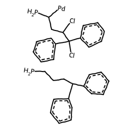 PCCCC(c1ccccc1)c1ccccc1.P[CH]([Pd])CC(Cl)C(Cl)(c1ccccc1)c1ccccc1